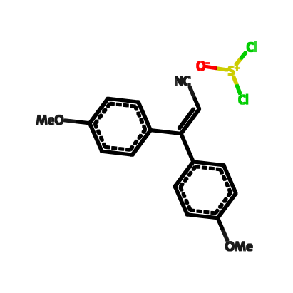 COc1ccc(C(=CC#N)c2ccc(OC)cc2)cc1.[O-][S+](Cl)Cl